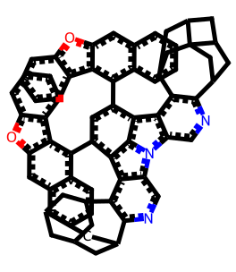 c1ccc2c(-c3cc(-c4c5ccccc5cc5oc6ccccc6c45)c4c5c6c(ncc5n5c7cnc8c(c7c3c45)C3CC4CC(CC8C4)C3)C3CC4CC5CC6CC45C3)c3c(cc2c1)oc1ccccc13